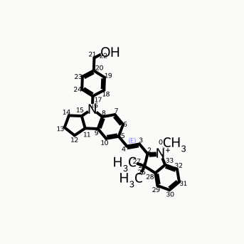 C[N+]1=C(/C=C/c2ccc3c(c2)C2CCCC2N3c2ccc(CO)cc2)C(C)(C)c2ccccc21